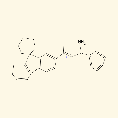 C/C(=C\C(N)c1ccccc1)c1ccc2c(c1)C1(CCCCC1)C1=C2C=CCC1